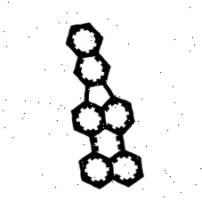 c1ccc2cc3c(cc2c1)-c1ccc2c4cccc5cccc(c6ccc-3c1c26)c54